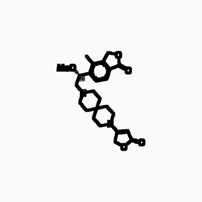 CO[C@@H](CN1CCC2(CC1)CCN(C1=CC(=O)OC1)CC2)c1ccc2c(c1C)COC2=O